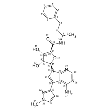 CC(CCc1ccccc1)NC(=O)[C@H]1O[C@@H](n2cc(-c3ccn(C)n3)c3c(N)ncnc32)[C@H](O)[C@@H]1O